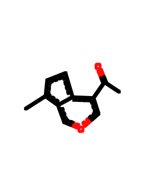 CC(=O)c1cocc2c(C)ccc1-2